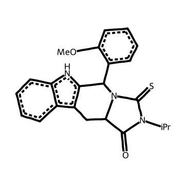 COc1ccccc1C1c2[nH]c3ccccc3c2CC2C(=O)N(C(C)C)C(=S)N21